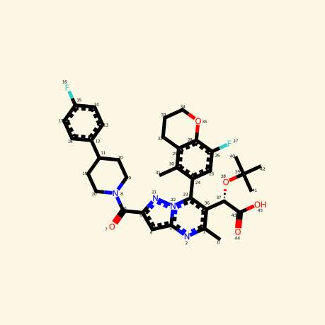 Cc1nc2cc(C(=O)N3CCC(c4ccc(F)cc4)CC3)nn2c(-c2cc(F)c3c(c2C)CCCO3)c1[C@H](OC(C)(C)C)C(=O)O